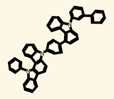 c1ccc(-c2cccc(-n3c4ccccc4c4c(-c5ccc(-n6c7ccccc7c7c6ccc6c8ccccc8n(-c8ccccc8)c67)cc5)cccc43)c2)cc1